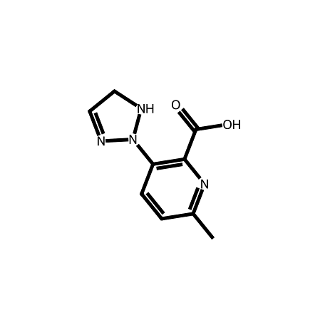 Cc1ccc(N2N=CCN2)c(C(=O)O)n1